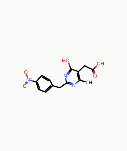 Cc1nc(Cc2ccc([N+](=O)[O-])cc2)nc(O)c1CC(=O)O